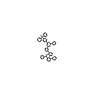 O=P(c1ccccc1)(c1ccccc1)c1ccc(-c2cc(-c3cccc(-c4cccc5c4nc(-c4ccccc4)c4cccc(-c6ccccc6)c45)c3)nc(-c3ccccc3)n2)cc1